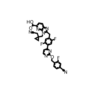 N#CCC1(Cn2c(Cc3cc(F)c(-c4ccnc(OCc5ccc(C#N)cc5F)n4)cc3F)nc3ccc(C(=O)O)nc32)CC1